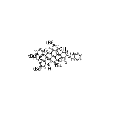 Cc1cc(-c2cc3ccccc3o2)cc(C)c1N1c2ccc(C(C)(C)C)cc2B2c3oc4ccc(C(C)(C)C)cc4c3N(c3c(C)cc(C(C)(C)C)cc3C)c3cc(C(C)(C)C)cc1c32